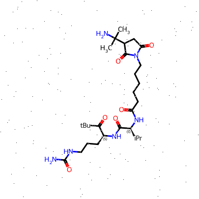 CC(C)[C@H](NC(=O)CCCCCN1C(=O)CC(C(C)(C)N)C1=O)C(=O)N[C@@H](CCCNC(N)=O)C(=O)C(C)(C)C